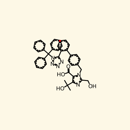 CC(C)(O)c1nc(CO)n(Cc2ccc(-c3ccccc3-c3nnnn3C(c3ccccc3)(c3ccccc3)c3ccccc3)cc2)c1C(=O)O